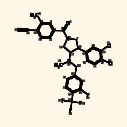 Cc1cc(C(=O)N2CC(c3ccc(Cl)c(Cl)c3)C(N(C)Cc3ccc(C(F)(F)F)c(F)c3)C2)ccc1C#N